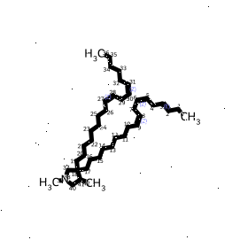 CC/C=C/C/C=C\C/C=C\CCCCCCCCC1(CCCCCCCC/C=C\C/C=C\CCCCC)CN(C)CC1C